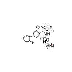 CC1(C)COc2cc(-c3ccccc3F)ccc2C1NC(=O)O[C@H]1CN2CCC1CC2